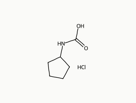 Cl.O=C(O)NC1CCCC1